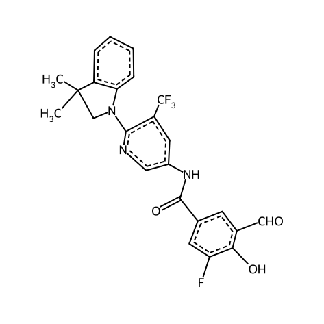 CC1(C)CN(c2ncc(NC(=O)c3cc(F)c(O)c(C=O)c3)cc2C(F)(F)F)c2ccccc21